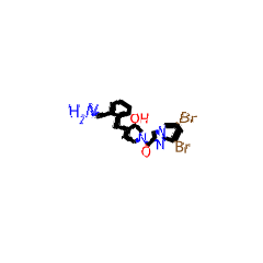 NCc1ccccc1CC1CCN(C(=O)c2cn3cc(Br)cc(Br)c3n2)C[C@H]1O